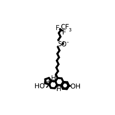 C[C@]12CC[C@@H]3c4ccc(O)cc4CC(CCCCCCCCC[S+]([O-])CCCC(F)(F)C(F)(F)F)[C@H]3[C@@H]1CC[C@@H]2O